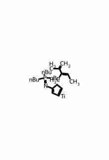 C=C(C)C(C)=CC.CCCCP(CCCC)(CCCC)=NC1=CC=CC1.[Ti]